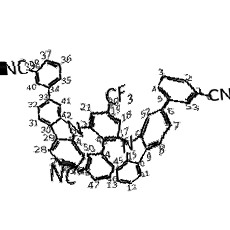 N#Cc1cccc(-c2ccc3c4ccccc4n(-c4cc(C(F)(F)F)cc(-n5c6ccccc6c6ccc(-c7cccc(C#N)c7)cc65)c4-c4cccc(C#N)c4)c3c2)c1